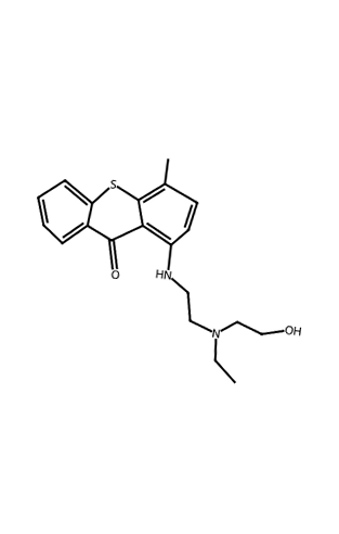 CCN(CCO)CCNc1ccc(C)c2sc3ccccc3c(=O)c12